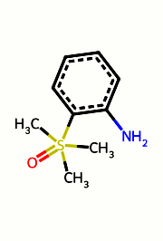 CS(C)(C)(=O)c1ccccc1N